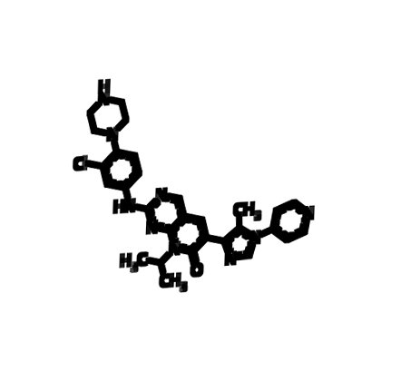 Cc1c(-c2cc3cnc(Nc4ccc(N5CCNCC5)c(Cl)c4)nc3n(C(C)C)c2=O)ncn1-c1ccncc1